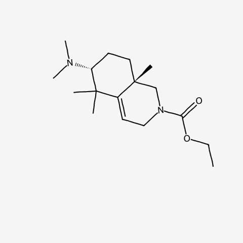 CCOC(=O)N1CC=C2C(C)(C)[C@H](N(C)C)CC[C@]2(C)C1